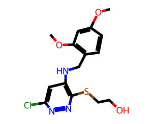 COc1ccc(CNc2cc(Cl)nnc2SCCO)c(OC)c1